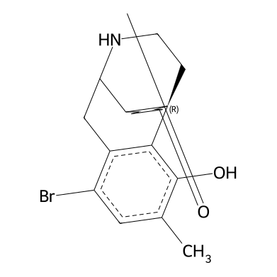 Cc1cc(Br)c2c(c1O)[C@@]13CCNC(C2)C1CCC(=O)C3